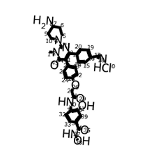 Cl.Cn1c(N2CCC(N)CC2)nc(-c2ccc(C#N)cc2)c(-c2ccc(OCC(=O)Nc3ccc(C(=O)NO)cc3O)cc2)c1=O